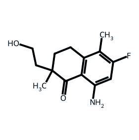 Cc1c(F)cc(N)c2c1CCC(C)(CCO)C2=O